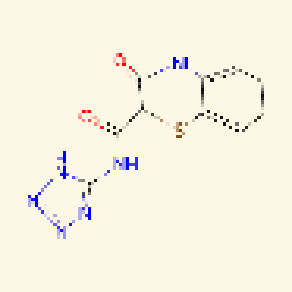 O=C(Nc1nnn[nH]1)C1Sc2ccccc2NC1=O